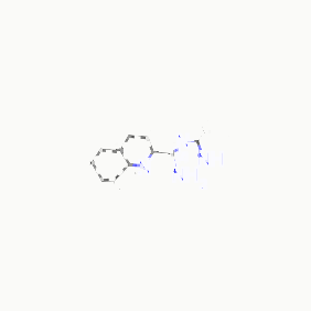 N=C(/N=C(\N)c1ccc2ccccc2n1)C(F)(F)F